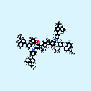 CC(C)(C)c1ccc(-c2ccc(N(c3ccc(-c4ccc(C(C)(C)C)c5ccccc45)cc3)c3cc4c(c5oc6ccccc6c35)-c3cc5c(cc3[Si]4(C)C)-c3c(cc(N(c4ccc(-c6ccc(C(C)(C)C)c7ccccc67)cc4)c4ccc(-c6ccc(C(C)(C)C)c7ccccc67)cc4)c4c3oc3ccccc34)[Si]5(C)C)cc2)c2ccccc12